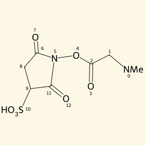 CNCC(=O)ON1C(=O)CC(S(=O)(=O)O)C1=O